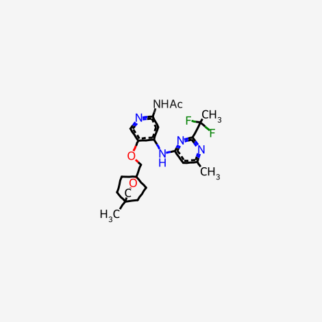 CC(=O)Nc1cc(Nc2cc(C)nc(C(C)(F)F)n2)c(OCC23CCC(C)(CC2)CO3)cn1